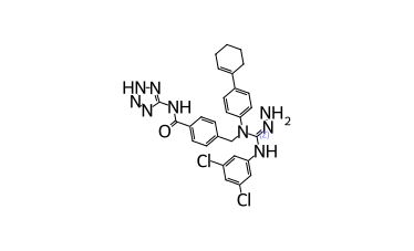 N/N=C(/Nc1cc(Cl)cc(Cl)c1)N(Cc1ccc(C(=O)Nc2nn[nH]n2)cc1)c1ccc(C2=CCCCC2)cc1